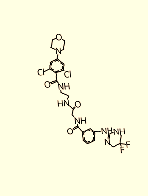 O=C(CNC(=O)c1cccc(NC2=NCC(F)(F)CN2)c1)NCCNC(=O)c1c(Cl)cc(N2CCOCC2)cc1Cl